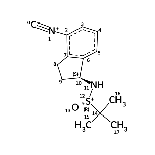 [C-]#[N+]c1cccc2c1CC[C@@H]2N[S@@+]([O-])C(C)(C)C